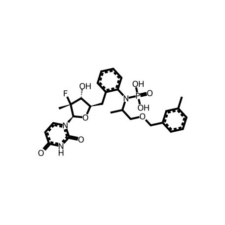 Cc1cccc(COCC(C)N(c2ccccc2C[C@H]2O[C@@H](n3ccc(=O)[nH]c3=O)[C@](C)(F)[C@@H]2O)P(=O)(O)O)c1